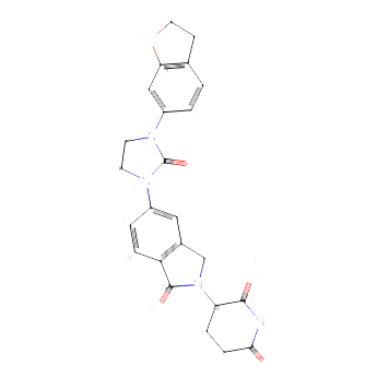 O=C1CCC(N2Cc3cc(N4CCN(c5ccc6c(c5)OCC6)C4=O)ccc3C2=O)C(=O)N1